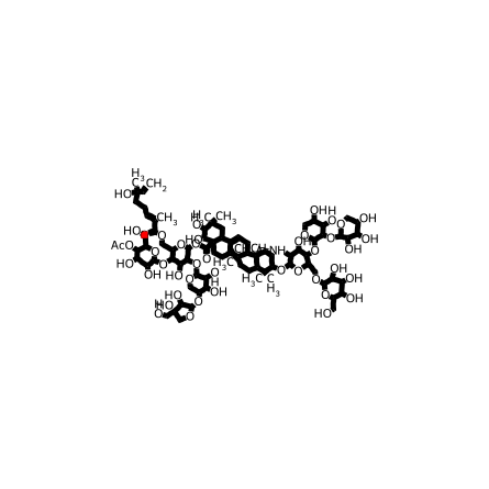 C=CC(C)(O)CC/C=C(\C)C(=O)OCC1OC(OC(=O)C23CCC4(C)C(=CCC5C6(C)CCC(OC7OC(COC8OC(CO)C(O)C(O)C8O)C(OC8OCC(O)C(O)C8OC8OCC(O)C(O)C8O)C(O)C7NC(C)=O)C(C)(C)C6CCC54C)C2CC(C)(C)C(O)C3O)C(OC2OCC(OC3OCC(O)(CO)C3O)C(O)C2O)C(O)C1OC1OC(CO)C(OC(C)=O)C(O)C1O